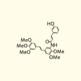 COc1cc(C=Cc2cc(OC)c(OC)c(OC)c2)cc(NC(=O)/C=C/c2cccc(O)c2)c1OC